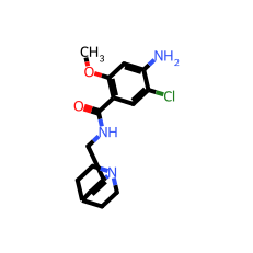 COc1cc(N)c(Cl)cc1C(=O)NCC1=CC2CCN1CC2